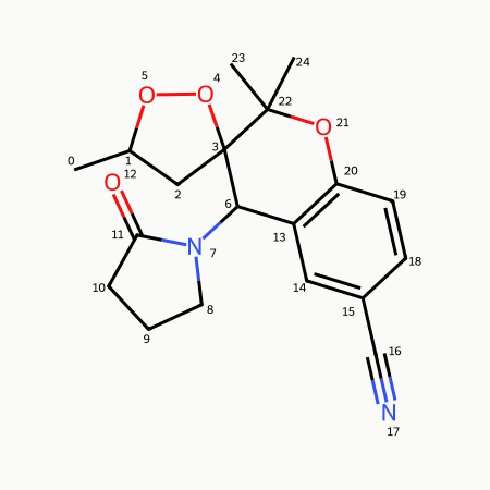 CC1CC2(OO1)C(N1CCCC1=O)c1cc(C#N)ccc1OC2(C)C